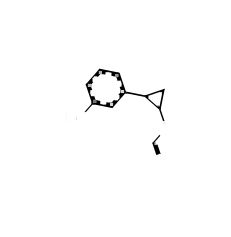 Cc1cccc(C2CC2OC=O)c1